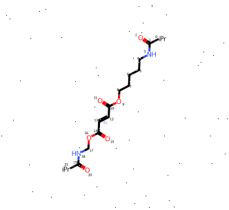 CC(C)C(=O)NCCCCCOC(=O)/C=C/C(=O)OCNC(=O)C(C)C